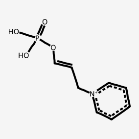 O=P(O)(O)OC=CC[n+]1ccccc1